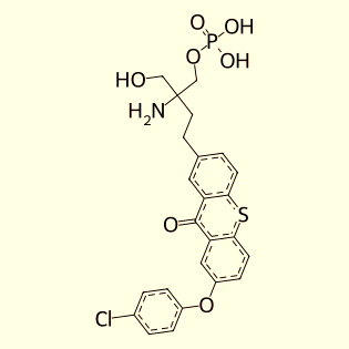 NC(CO)(CCc1ccc2sc3ccc(Oc4ccc(Cl)cc4)cc3c(=O)c2c1)COP(=O)(O)O